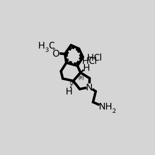 COc1cccc2c1CC[C@@H]1CN(CCN)C[C@@H]21.Cl.Cl